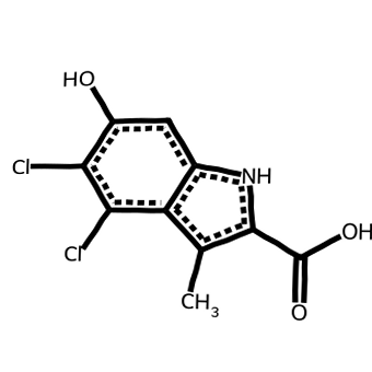 Cc1c(C(=O)O)[nH]c2cc(O)c(Cl)c(Cl)c12